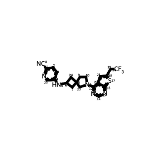 N#Cc1ccc(NC2CC3(CCN(c4ncnc5sc(CC(F)(F)F)cc45)C3)C2)cn1